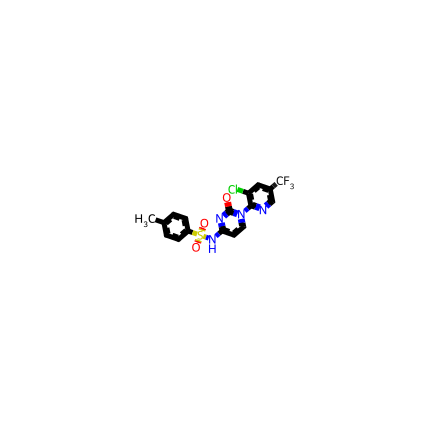 Cc1ccc(S(=O)(=O)Nc2ccn(-c3ncc(C(F)(F)F)cc3Cl)c(=O)n2)cc1